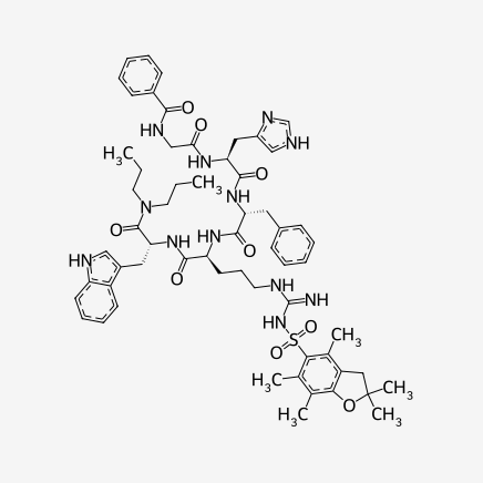 CCCN(CCC)C(=O)[C@@H](Cc1c[nH]c2ccccc12)NC(=O)[C@H](CCCNC(=N)NS(=O)(=O)c1c(C)c(C)c2c(c1C)CC(C)(C)O2)NC(=O)[C@@H](Cc1ccccc1)NC(=O)[C@H](Cc1c[nH]cn1)NC(=O)CNC(=O)c1ccccc1